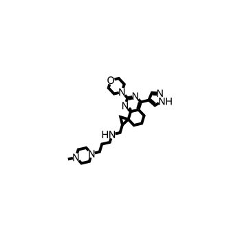 CN1CCN(CCCNCC2CC23CCCc2c(-c4cn[nH]c4)nc(N4CCOCC4)nc23)CC1